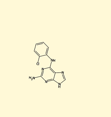 Nc1nc(Nc2ccccc2Cl)c2nc[nH]c2n1